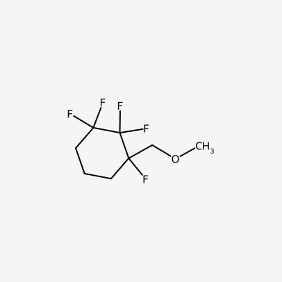 COCC1(F)CCCC(F)(F)C1(F)F